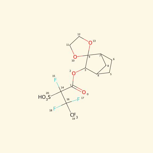 O=C(OC1C2CCC(C2)C12OCCO2)C(F)(C(F)(F)C(F)(F)F)S(=O)(=O)O